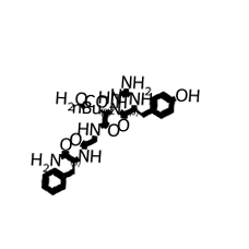 CC(=O)O.CCCC[C@@H](NC(=O)[C@H](Cc1ccc(O)cc1)NC(=N)N)C(=O)NCC(=O)N[C@@H](Cc1ccccc1)C(N)=O.O